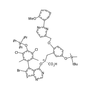 COc1ccccc1-c1nccc(COc2ccc(O[Si](C)(C)C(C)(C)C)cc2C[C@@H](Oc2ncnc3sc(Br)c(-c4c(C)c(Cl)c(O[Si](C(C)C)(C(C)C)C(C)C)c(Cl)c4C)c23)C(=O)O)n1